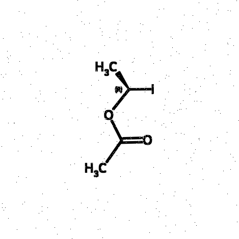 CC(=O)O[C@@H](C)I